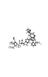 C#Cc1cc(C(=O)N[C@H]2CCc3cc(-n4c(-c5cccnc5N)nc5ccc(-n6cccn6)nc54)ccc32)cc(C=O)c1O